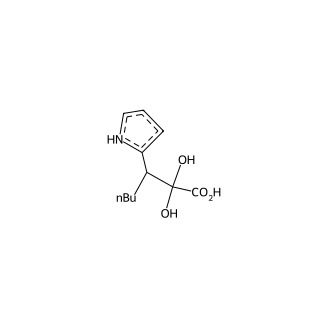 CCCCC(c1ccc[nH]1)C(O)(O)C(=O)O